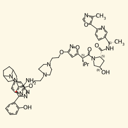 Cc1ncoc1-c1ccc([C@H](C)NC(=O)[C@@H]2C[C@@H](O)CN2C(=O)[C@H](c2cc(OCCN3CCN(CCOc4cc(N5C6CCC5CN(c5cc(-c7ccccc7O)nnc5N)C6)ccn4)CC3)no2)C(C)C)cn1